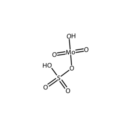 O=S(=O)(O)[O][Mo](=[O])(=[O])[OH]